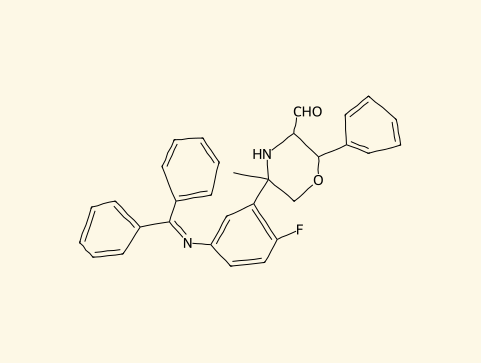 CC1(c2cc(N=C(c3ccccc3)c3ccccc3)ccc2F)COC(c2ccccc2)C(C=O)N1